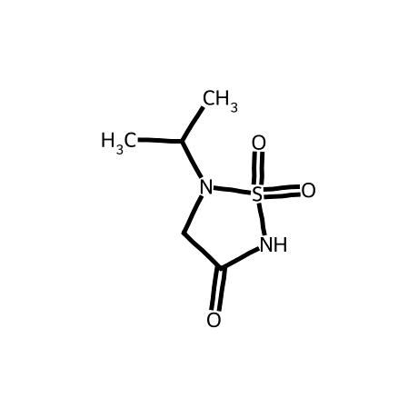 CC(C)N1CC(=O)NS1(=O)=O